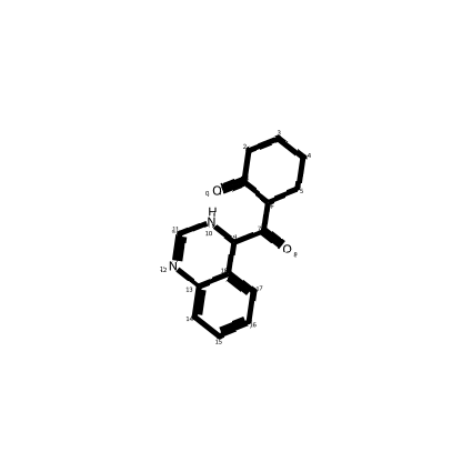 O=C1CCCCC1C(=O)C1NC=Nc2ccccc21